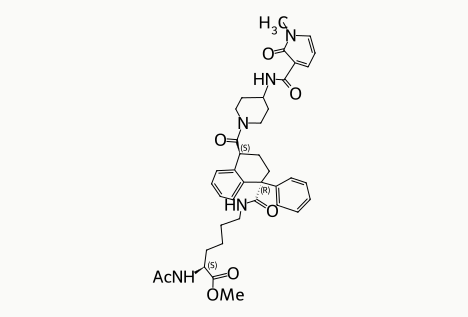 COC(=O)[C@H](CCCCNC(=O)[C@@]1(c2ccccc2)CC[C@H](C(=O)N2CCC(NC(=O)c3cccn(C)c3=O)CC2)c2ccccc21)NC(C)=O